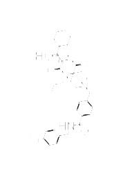 CCCN1C(=O)[C@@H]([C@H](O)C2CCCCC2)NC(=O)C12CCN(Cc1ccc(C(=O)NCc3ccc(OC)cc3)cc1)CC2